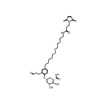 O=COCc1cc(CCCOCCOCCOCCNC(=O)CCN2C(=O)C=CC2=O)ccc1O[C@H]1C[C@@H](O)[C@H](O)[C@@H](C(=O)O)O1